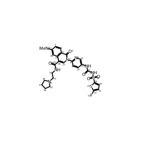 CNc1ccc2c(=O)n(-c3ccc(NC(=O)NS(=O)(=O)c4ccc(F)s4)cn3)cc(C(=O)NCCN3CCCC3)c2c1